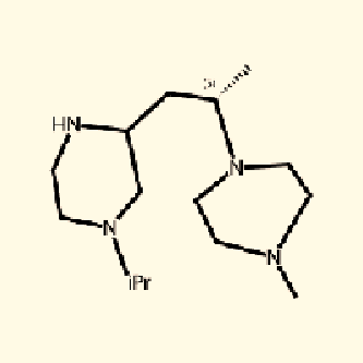 CC(C)N1CCNC(C[C@H](C)N2CCN(C)CC2)C1